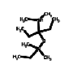 CCC(CC)(O[Si](C)(C)CC)[SiH](C)C